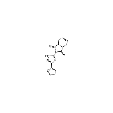 O=C1C2CC=CCC2C(=O)N1c1nc(-c2ccco2)n[nH]1